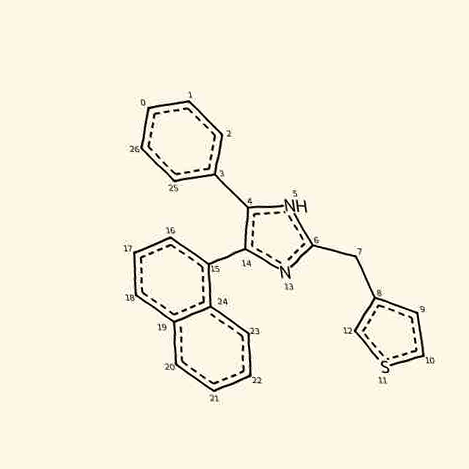 c1ccc(-c2[nH]c(Cc3ccsc3)nc2-c2cccc3ccccc23)cc1